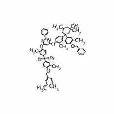 C=C/C=C(\C=C/C)COc1ccc(C(CC)(CCC)c2ccc(Oc3cc(Oc4ccc(C5(c6ccc(OCc7ccccc7)c(C)c6)CC(C)CC(C)(C)C5)cc4C)nc(-c4ccccc4)n3)c(C)c2)cc1C